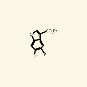 CCOC(=O)c1coc2cc(O)c(F)cc12